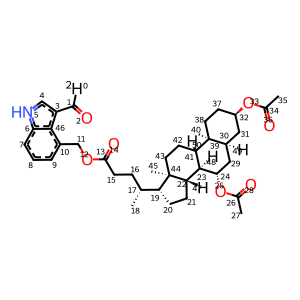 [2H]C(=O)c1c[nH]c2cccc(COC(=O)CC[C@@H](C)[C@H]3CC[C@H]4[C@@H]5[C@@H](OC(C)=O)C[C@@H]6C[C@H](OC(C)=O)CC[C@]6(C)[C@H]5CC[C@]34C)c12